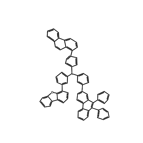 c1ccc(-c2c(-c3ccccc3)c3cc(-c4cccc(N(c5ccc(-c6cccc7c6ccc6ccccc67)cc5)c5cccc(-c6cccc7c6oc6ccccc67)c5)c4)ccc3c3ccccc23)cc1